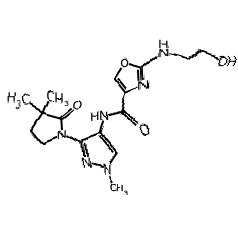 Cn1cc(NC(=O)c2coc(NCCO)n2)c(N2CCC(C)(C)C2=O)n1